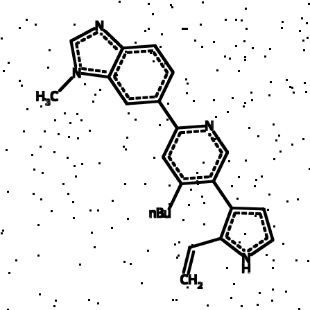 C=Cc1[nH]ccc1-c1cnc(-c2ccc3ncn(C)c3c2)cc1CCCC